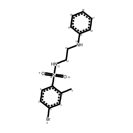 Cc1cc(Br)ccc1S(=O)(=O)NCCNc1ccccc1